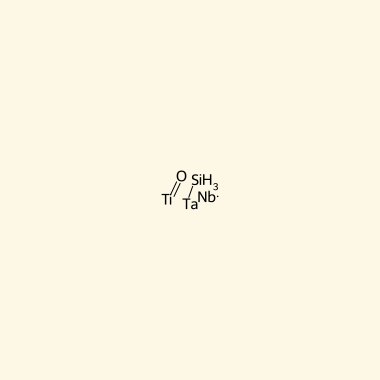 [Nb].[O]=[Ti].[SiH3][Ta]